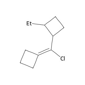 CCC1CCC1C(Cl)=C1CCC1